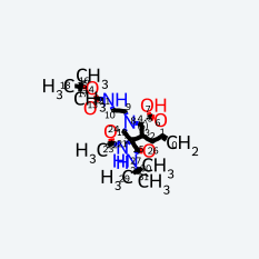 C=CCC1[C@@H](C(=O)O)N(CCNC(=O)OC(C)(C)C)CC1(NC(C)=O)C(=O)NC(C)(C)C